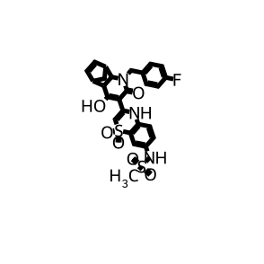 CS(=O)(=O)Nc1ccc2c(c1)S(=O)(=O)C=C(C1=C(O)C3C4C=CC(C4)C3N(Cc3ccc(F)cc3)C1=O)N2